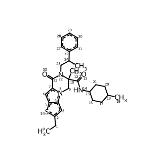 CCc1cc2c(cc3n2CC(C)(C(=O)NC2CCC(C)CC2)N(CC(C)c2ccccc2)C3=O)s1